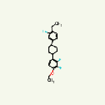 CCOc1ccc(C2CCC(c3ccc(CC)c(F)c3)CC2)c(F)c1F